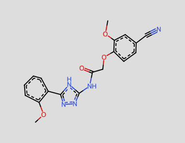 COc1cc(C#N)ccc1OCC(=O)Nc1nnc(-c2ccccc2OC)[nH]1